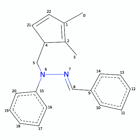 CC1=C(C)C(CN(N=Cc2ccccc2)c2ccccc2)C=C1